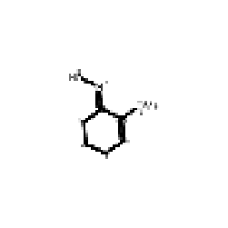 COC1=CCCCC1=NO